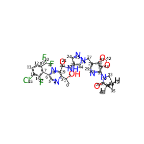 CC(O)c1ncc(-c2c(C(F)F)ccc(Cl)c2F)nc1C(=O)Nc1cnn(Cc2cnc(N3C[C@H]4C[C@H]4C3=O)c3c2OCO3)c1